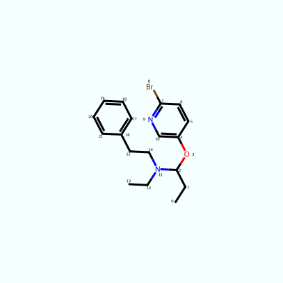 CCC(Oc1ccc(Br)nc1)N(CC)CCc1ccccc1